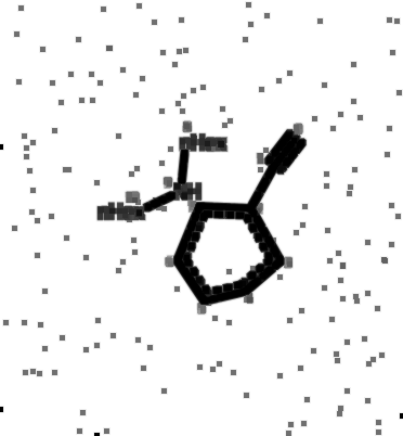 C#Cc1ccccc1.CCCCCCNCCCCCC